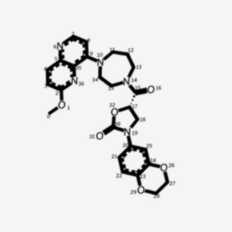 COc1ccc2nccc(N3CCCN(C(=O)[C@@H]4CN(c5ccc6c(c5)OCCO6)C(=O)O4)CC3)c2n1